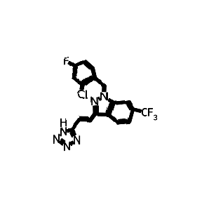 Fc1ccc(Cn2nc(C=Cc3nnn[nH]3)c3ccc(C(F)(F)F)cc32)c(Cl)c1